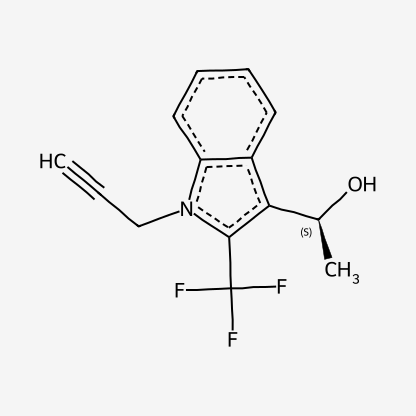 C#CCn1c(C(F)(F)F)c([C@H](C)O)c2ccccc21